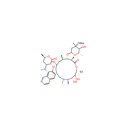 CC[C@H]1OC(=O)[C@H](C)[C@@H](O[C@H]2C[C@@](C)(OC)[C@@H](O)[C@H](C)O2)[C@H](C)[C@@H](O[C@@H]2O[C@H](C)C[C@H](N(C)C)[C@H]2Oc2ccc3ccncc3c2)[C@](C)(O)C[C@@H](C)CN(C)[C@H](C)[C@@H](O)[C@]1(C)O